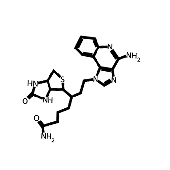 NC(=O)CCCC(CCn1cnc2c(N)nc3ccccc3c21)C1SCC2NC(=O)NC21